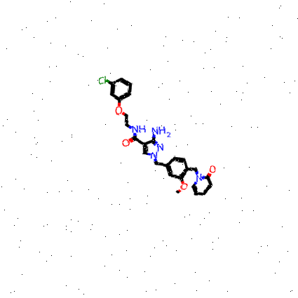 COc1cc(Cn2cc(C(=O)NCCOc3cccc(Cl)c3)c(N)n2)ccc1Cn1ccccc1=O